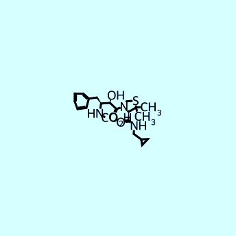 CC1(C)SCN(C(=O)[C@@H](O)[C@H](Cc2ccccc2)NC(=O)O)[C@@H]1C(=O)NCC1CC1